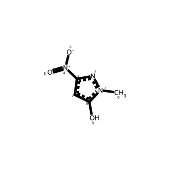 Cn1nc([N+](=O)[O-])cc1O